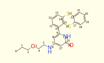 CCCOCCNc1cc(-c2cccc3c2Sc2ccccc2S3)[nH]c(=O)c1